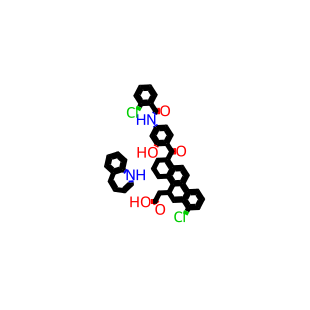 C1=CNc2ccccc2C=C1.O=C(O)CC1C=c2c(Cl)cccc2=c2ccc3c(c21)CCCC=3C(=O)c1ccc(NC(=O)c2ccccc2Cl)cc1O